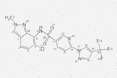 Cn1cc2ccc(Cl)c(NS(=O)(=O)c3ccc(-n4cc(C(F)(F)F)cn4)nc3)c2n1